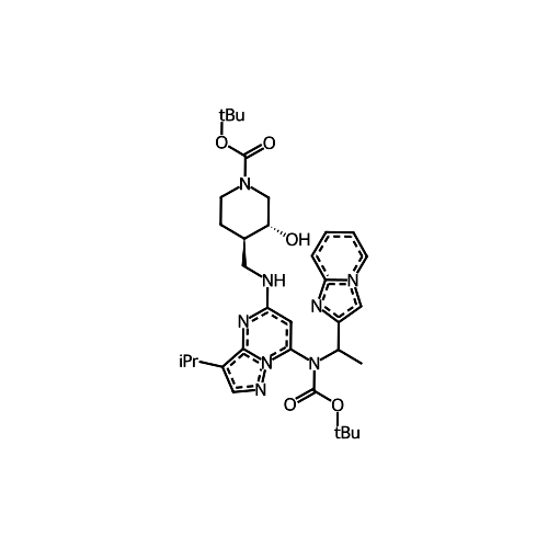 CC(C)c1cnn2c(N(C(=O)OC(C)(C)C)C(C)c3cn4ccccc4n3)cc(NC[C@H]3CCN(C(=O)OC(C)(C)C)C[C@@H]3O)nc12